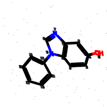 Oc1ccc2c(c1)ncn2-c1ccccc1